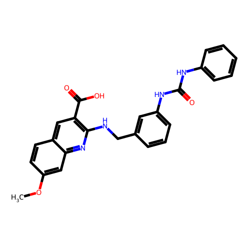 COc1ccc2cc(C(=O)O)c(NCc3cccc(NC(=O)Nc4ccccc4)c3)nc2c1